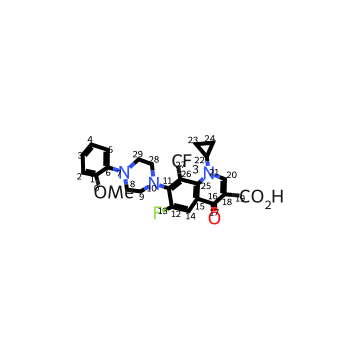 COc1ccccc1N1CCN(c2c(F)cc3c(=O)c(C(=O)O)cn(C4CC4)c3c2C(F)(F)F)CC1